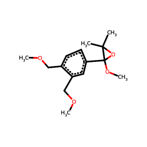 COCc1ccc(C2(OC)OC2(C)C)cc1COC